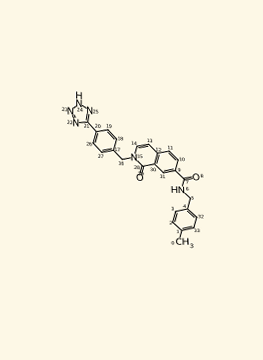 Cc1ccc(CNC(=O)c2ccc3ccn(Cc4ccc(-c5nn[nH]n5)cc4)c(=O)c3c2)cc1